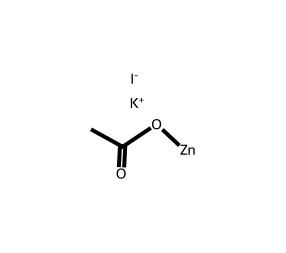 CC(=O)[O][Zn].[I-].[K+]